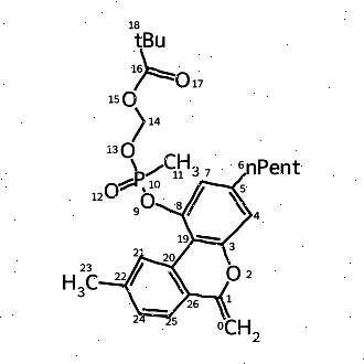 C=C1Oc2cc(CCCCC)cc(OP(C)(=O)OCOC(=O)C(C)(C)C)c2-c2cc(C)ccc21